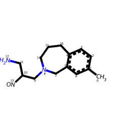 Cc1ccc2c(c1)CN(CC(CN)N=O)CCC2